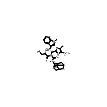 Cc1oc([C@@H](Cc2cn(C)c3ccccc23)N(C(=O)NC2C3CC4CC(C3)CC2C4)C(=O)[C@@H](N)CC(C)C)nc1C(=O)O